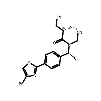 CC(C)C[C@H](N)C(=O)N(CC#N)[C@@H](c1ccc(-c2nc(Br)cs2)cc1)C(F)(F)F